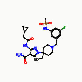 CS(=O)(=O)Nc1cc(F)cc(CN2CCC(CC#N)(n3cc(C(N)=O)c(NC(=O)CC4CC4)n3)CC2)c1